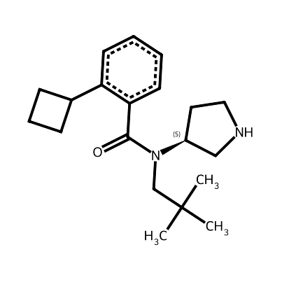 CC(C)(C)CN(C(=O)c1ccccc1C1CCC1)[C@H]1CCNC1